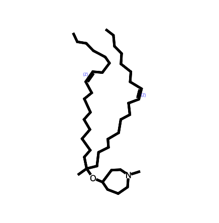 CCCCCCC/C=C\CCCCCCCCC(C)(CCCCCCCC/C=C\CCCCCCC)OC1CCCN(C)CC1